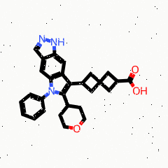 O=C(O)C1CC2(C1)CC(c1c(C3CCOCC3)n(-c3ccccc3)c3cc4cn[nH]c4cc13)C2